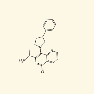 CC(N)c1cc(Cl)c2cccnc2c1N1CCC(c2ccccc2)C1